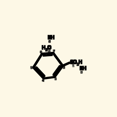 O.O=S(=O)(O)c1ccccc1.[KH].[KH]